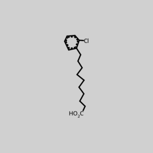 O=C(O)CCCCCCCCCc1ccccc1Cl